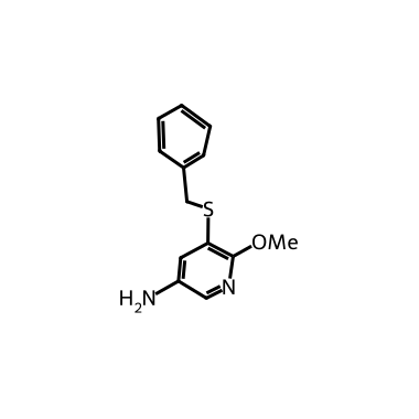 COc1ncc(N)cc1SCc1ccccc1